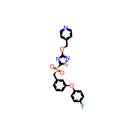 O=S(=O)(Cc1cccc(Oc2ccc(F)cc2)c1)c1nc(OCc2ccncc2)ns1